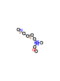 C1=CCC(c2nc(-c3ccc(-c4cccc5c4sc4ccc(-c6ccc(-c7nc8ccccc8s7)cc6)cc45)cc3)nc(-c3ccc4oc5ccccc5c4c3)n2)C=C1